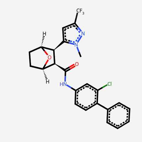 Cn1nc(C(F)(F)F)cc1[C@H]1[C@@H](C(=O)Nc2ccc(-c3ccccc3)c(Cl)c2)[C@H]2CC[C@@H]1O2